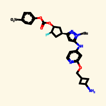 CC(C)(C)n1nc([C@H]2C[C@@H](F)[C@@H](OC(=O)Oc3ccc([N+](=O)[O-])cc3)C2)cc1Nc1ccnc(OCC2CC(N)C2)c1